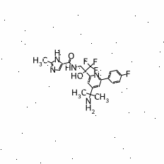 Cc1ncc(C(=O)NCC(O)(c2cc(C(C)(C)N)cc(-c3ccc(F)cc3)n2)C(F)(F)F)[nH]1